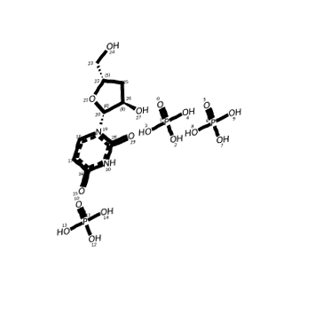 O=P(O)(O)O.O=P(O)(O)O.O=P(O)(O)O.O=c1ccn([C@@H]2O[C@H](CO)C[C@H]2O)c(=O)[nH]1